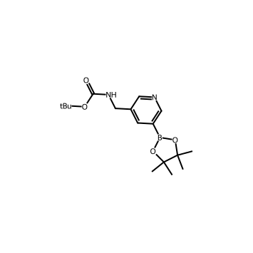 CC(C)(C)OC(=O)NCc1cncc(B2OC(C)(C)C(C)(C)O2)c1